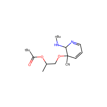 CCCCNC1N=CC=CC1(C#N)OCC(C)OC(=O)C(C)(C)C